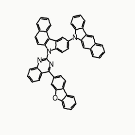 c1ccc2cc3c(cc2c1)c1ccccc1n3-c1ccc2c(c1)c1c3ccccc3ccc1n2-c1nc(-c2ccc3c(c2)oc2ccccc23)c2ccccc2n1